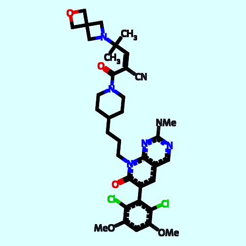 CNc1ncc2cc(-c3c(Cl)c(OC)cc(OC)c3Cl)c(=O)n(CCCC3CCN(C(=O)/C(C#N)=C\C(C)(C)N4CC5(COC5)C4)CC3)c2n1